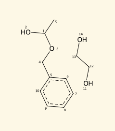 CC(O)OCc1ccccc1.OCCO